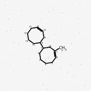 CC1=CCCCCC(C2CC=CCCCC2)C1